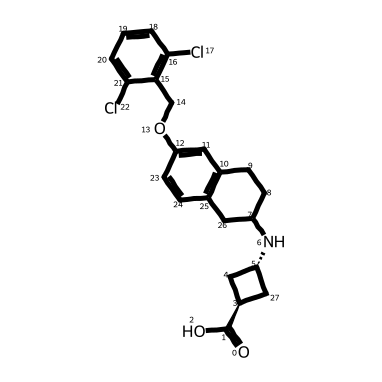 O=C(O)[C@H]1C[C@H](NC2CCc3cc(OCc4c(Cl)cccc4Cl)ccc3C2)C1